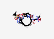 Cc1nc(C(=O)N[C@H]2CCCCC/C=C\[C@@H]3C[C@@]3(C(=O)NS(=O)(=O)C3CC3)NC(=O)[C@@H]3CCCN3C2=O)no1